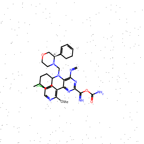 C=Nc1nc(C(=N)OC(N)=O)nc(-c2cc(Cl)cnc2OC)c1N(CN1CCOC[C@H]1C1=CC=CCC1)C1CCC(C)CC1